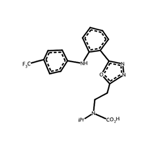 CC(C)N(CCc1nnc(-c2ccccc2Nc2ccc(C(F)(F)F)cc2)o1)C(=O)O